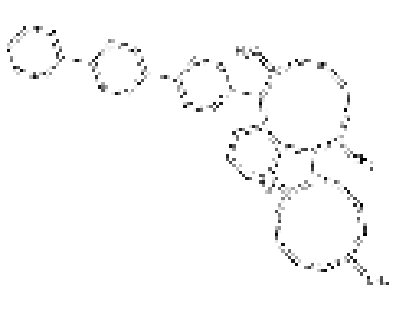 C=c1ccccc(=C)c(-c2c(=C)ccccc(=C)c(-c3ccc(-c4ccc(-c5ccccc5)cc4)cc3)c3ccccc23)ccc1